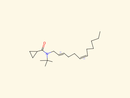 CCCCC/C=C\CC/C=C/CN(C(=O)C1CC1)C(C)(C)C